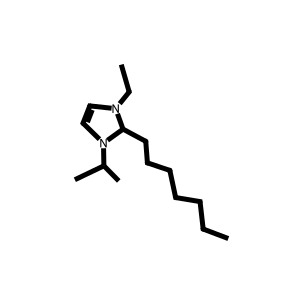 CCCCCCCC1N(CC)C=CN1C(C)C